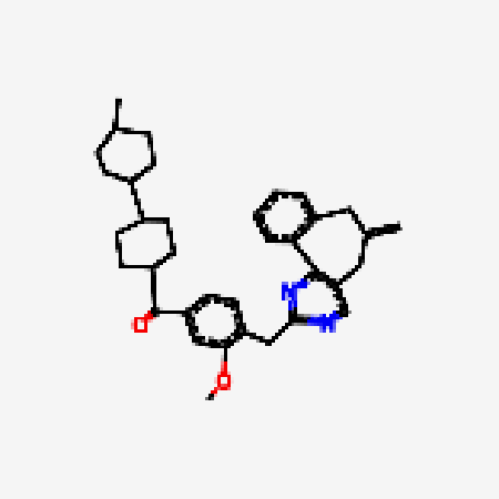 C=C1Cc2ccccc2-c2nc(Cc3ccc(C(=O)C4CCC(C5CCC(C)CC5)CC4)cc3OC)ncc2C1